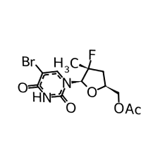 CC(=O)OC[C@@H]1C[C@@](C)(F)[C@H](n2cc(Br)c(=O)[nH]c2=O)O1